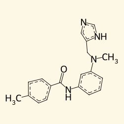 Cc1ccc(C(=O)Nc2cccc(N(C)Cc3cnc[nH]3)c2)cc1